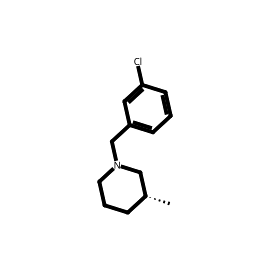 C[C@@H]1CCCN(Cc2cccc(Cl)c2)C1